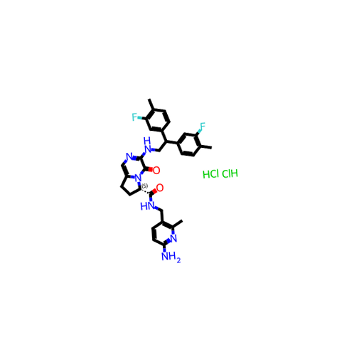 Cc1ccc(C(CNc2ncc3n(c2=O)[C@H](C(=O)NCc2ccc(N)nc2C)CC3)c2ccc(C)c(F)c2)cc1F.Cl.Cl